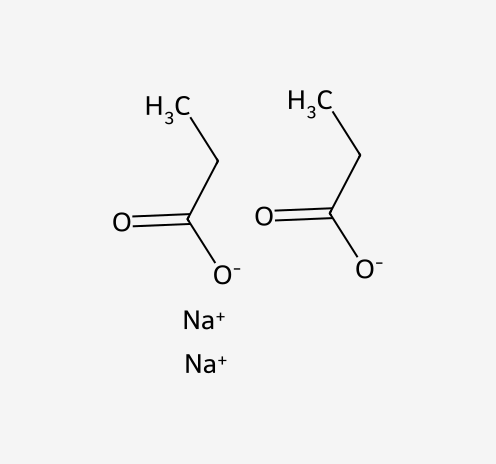 CCC(=O)[O-].CCC(=O)[O-].[Na+].[Na+]